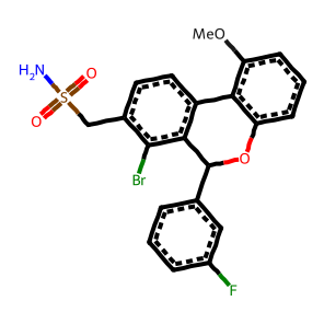 COc1cccc2c1-c1ccc(CS(N)(=O)=O)c(Br)c1C(c1cccc(F)c1)O2